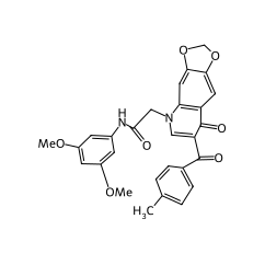 COc1cc(NC(=O)Cn2cc(C(=O)c3ccc(C)cc3)c(=O)c3cc4c(cc32)OCO4)cc(OC)c1